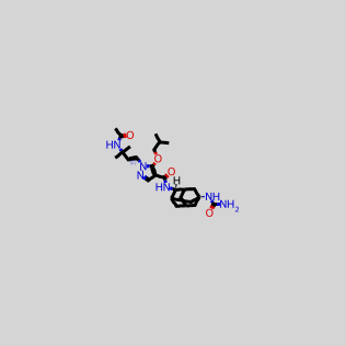 CC(=O)NC(C)(C)/C=C/n1ncc(C(=O)N[C@H]2C3CC4CC2C[C@](NC(N)=O)(C4)C3)c1OCC(C)C